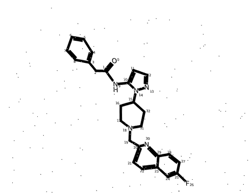 O=C(Cc1ccccc1)Nc1ccnn1C1CCN(Cc2ccc3cc(F)ccc3n2)CC1